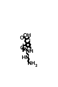 CCC(Cc1c(I)cc(I)c(N(NCCNCCN)C(C)=O)c1I)C(=O)O